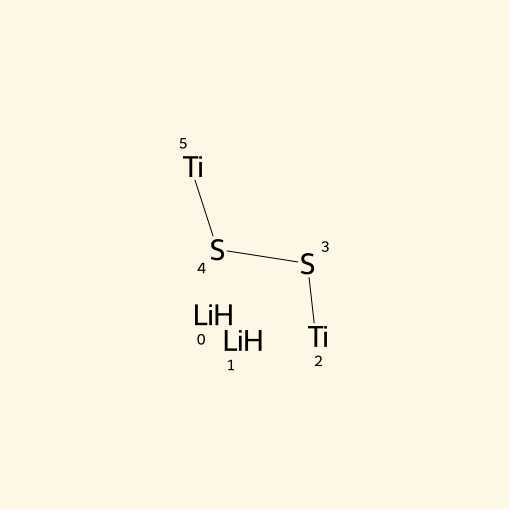 [LiH].[LiH].[Ti][S][S][Ti]